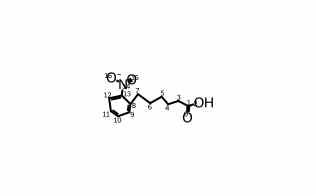 O=C(O)CCCCCc1ccccc1[N+](=O)[O-]